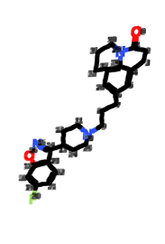 O=C1CCc2cc(CCCN3CCC(c4noc5cc(F)ccc45)CC3)cc3c2N1CCC3